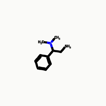 CN(C)C(C[SiH3])c1ccccc1